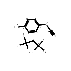 FC(F)(F)CC(F)(F)F.N#COc1ccc(O)cc1